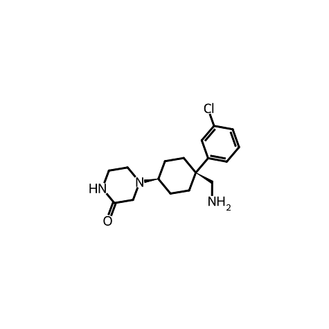 NC[C@]1(c2cccc(Cl)c2)CC[C@H](N2CCNC(=O)C2)CC1